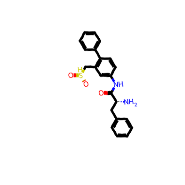 N[C@H](Cc1ccccc1)C(=O)Nc1ccc(-c2ccccc2)c(C[SH](=O)=O)c1